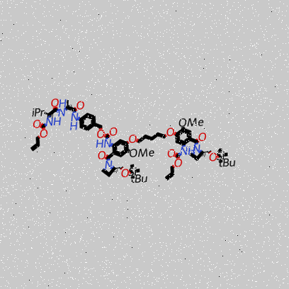 C=CCOC(=O)Nc1cc(OCCCCCOc2cc(NC(=O)OCc3ccc(NC(=O)[C@H](C)NC(=O)[C@@H](NC(=O)OCC=C)C(C)C)cc3)c(C(=O)N3CC[C@H]3CO[Si](C)(C)C(C)(C)C)cc2OC)c(OC)cc1C(=O)N1CC[C@H]1CO[Si](C)(C)C(C)(C)C